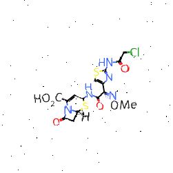 CO/N=C(\C(=O)NC1C=C(C(=O)O)N2C(=O)C[C@@H]2S1)c1csc(NC(=O)CCl)n1